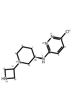 Clc1ccc(N[C@@H]2CCCN(C3CNC3)C2)nn1